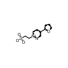 O=S(=O)([O-])CC[n+]1ccc(-c2ccco2)cn1